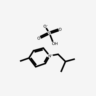 Cc1cc[n+](CC(C)C)cc1.O=S(=O)([O-])O